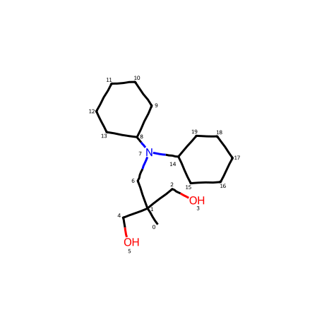 CC(CO)(CO)CN(C1CCCCC1)C1CCCCC1